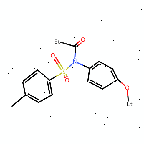 CCOc1ccc(N(C(=O)CC)S(=O)(=O)c2ccc(C)cc2)cc1